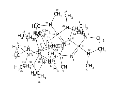 CN(C)P(=NP(C#N)(N=P(N(C)C)(N(C)C)N(C)C)(N=P(N(C)C)(N(C)C)N(C)C)N=P(N(C)C)(N(C)C)N(C)C)(N(C)C)N(C)C